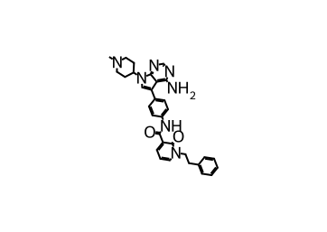 CN1CCC(n2cc(-c3ccc(NC(=O)c4cccn(CCc5ccccc5)c4=O)cc3)c3c(N)ncnc32)CC1